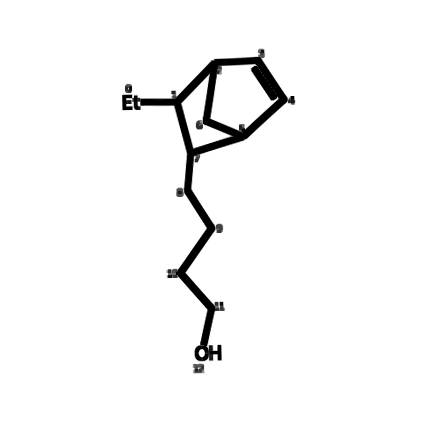 CCC1C2C=CC(C2)C1CCCCO